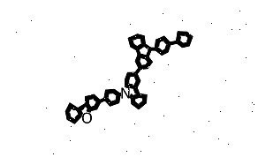 c1ccc(-c2ccc(C3c4ccccc4-c4cc(-c5ccc6c(c5)c5ccccc5n6-c5ccc(-c6ccc7c(c6)oc6ccccc67)cc5)ccc43)cc2)cc1